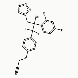 N#CCOc1ccc(C(F)(F)C(O)(Cn2cnnn2)c2ccc(F)cc2F)nc1